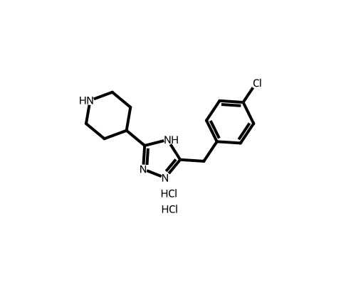 Cl.Cl.Clc1ccc(Cc2nnc(C3CCNCC3)[nH]2)cc1